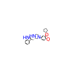 COc1ccc(N2CCN[C@@H](Cc3c[nH]c4ccccc34)C2)cc1OC1CCCC1